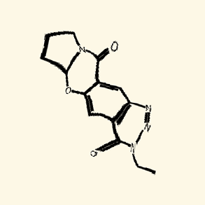 CCn1nnc2cc3c(cc2c1=O)OC1CCCN1C3=O